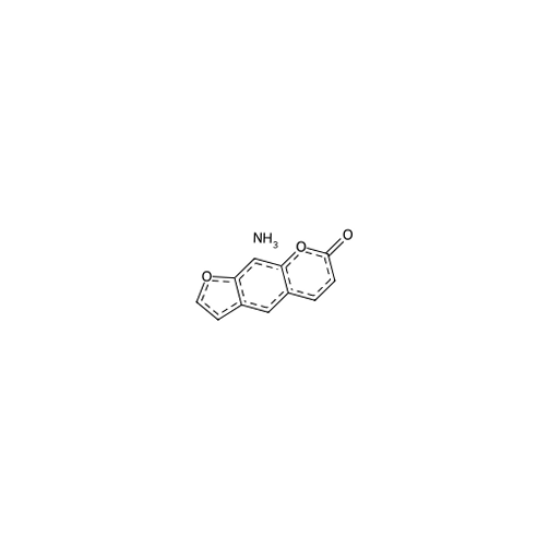 N.O=c1ccc2cc3ccoc3cc2o1